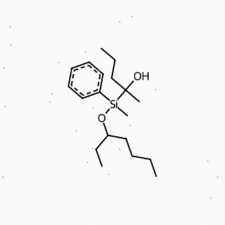 CCCCC(CC)O[Si](C)(c1ccccc1)C(C)(O)CCC